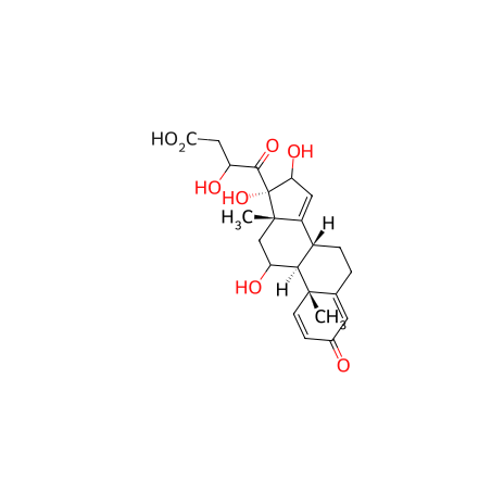 C[C@]12C=CC(=O)C=C1CC[C@H]1C3=CC(O)[C@](O)(C(=O)C(O)CC(=O)O)[C@@]3(C)CC(O)[C@@H]12